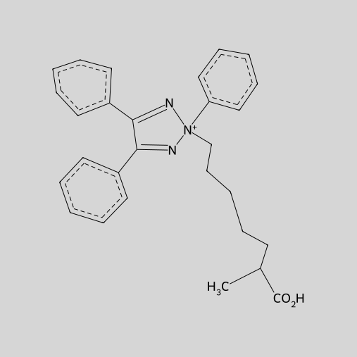 CC(CCCCC[N+]1(c2ccccc2)N=C(c2ccccc2)C(c2ccccc2)=N1)C(=O)O